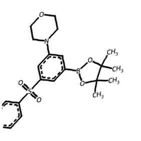 CC1(C)OB(c2cc(N3CCOCC3)cc(S(=O)(=O)c3ccccc3)c2)OC1(C)C